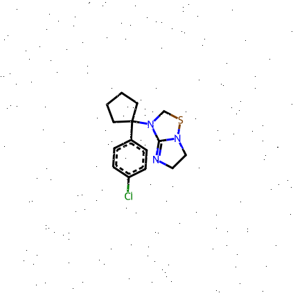 Clc1ccc(C2(N3CSN4CCN=C43)CCCC2)cc1